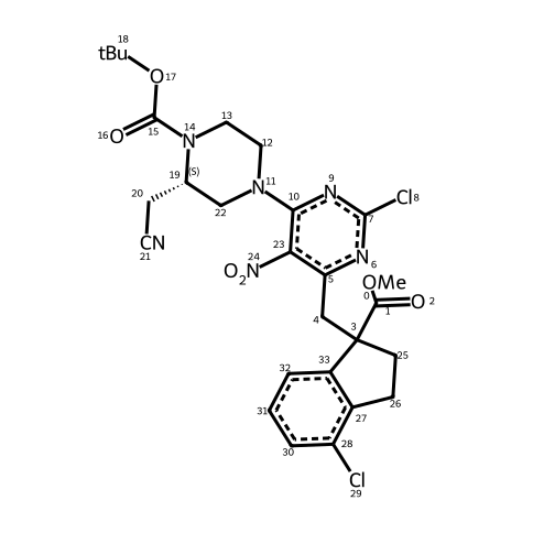 COC(=O)C1(Cc2nc(Cl)nc(N3CCN(C(=O)OC(C)(C)C)[C@@H](CC#N)C3)c2[N+](=O)[O-])CCc2c(Cl)cccc21